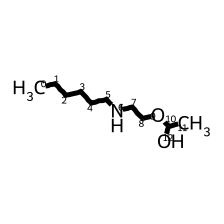 CCCCCCNCCOC(C)O